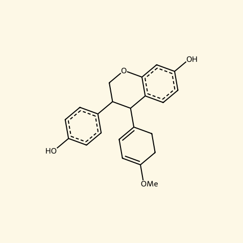 COC1=CC=C(C2c3ccc(O)cc3OCC2c2ccc(O)cc2)CC1